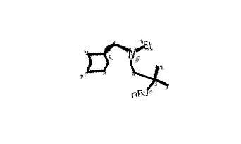 CCCCC(C)(C)CN(CC)CC1CCC1